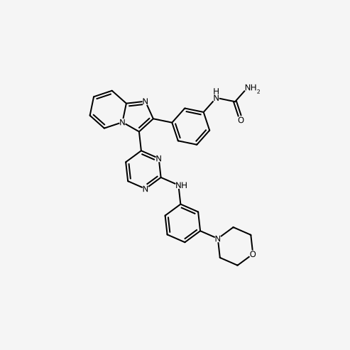 NC(=O)Nc1cccc(-c2nc3ccccn3c2-c2ccnc(Nc3cccc(N4CCOCC4)c3)n2)c1